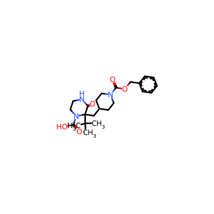 CC(C)(C)C1(CC2CCN(C(=O)OCc3ccccc3)CC2)C(=O)NCCN1C(=O)O